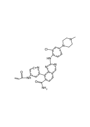 C=CC(=O)Nc1ccnc(-c2c(C(N)=O)ccc3cnc(Nc4ccc(N5CCN(C)CC5)cc4Cl)nc23)c1